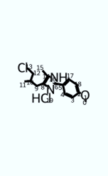 COc1ccc(-c2nc(CC(C)CCl)c(C)[nH]2)cc1.Cl